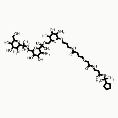 CCC(C)(OCC1OC(OCCCNC(=O)CCCSCC(=O)NCCC(=O)NC(C)(C)C2CCCC2)C(N)C(O)C1O)C1OC(COC(C)(C)C2OC(CO)C(O)C(O)C2N)C(O)C(O)C1N